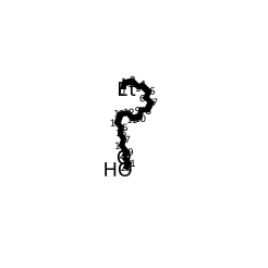 CC/C=C\C/C=C\C/C=C\C/C=C\C/C=C\CCCCCOCO